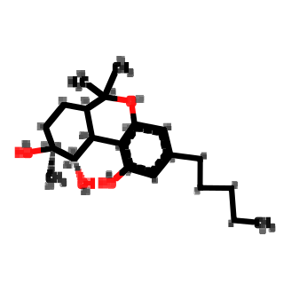 CCCCCc1cc(O)c2c(c1)OC(C)(C)C1CC[C@](C)(O)[C@@H](O)C21